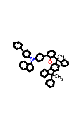 CC1(c2ccccc2)c2cccc(-c3ccc(N(c4ccc(-c5ccccc5)cc4)c4cccc5ccccc45)cc3)c2Oc2c1ccc1c2-c2ccccc2C1(C)c1ccccc1